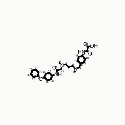 CN(CCCN(C)Cc1ccc(NC(=O)C(=O)O)cc1)CC(=O)Nc1ccc(Oc2ccccc2)cc1